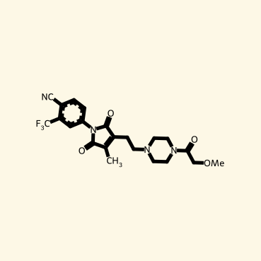 COCC(=O)N1CCN(CCC2=C(C)C(=O)N(c3ccc(C#N)c(C(F)(F)F)c3)C2=O)CC1